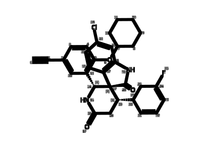 C#Cc1ccc(OC2CCCCC2)c([C@H]2NC(=O)C[C@@H](C3C=CC=C(F)C3)[C@]23C(=O)Nc2cc(Cl)ccc23)c1